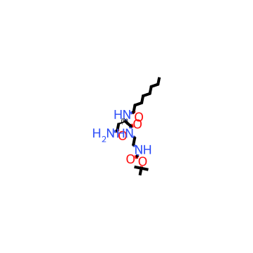 CCCCCCCC(=O)N[C@H](CC(N)=O)C(=O)NCCNC(=O)OC(C)(C)C